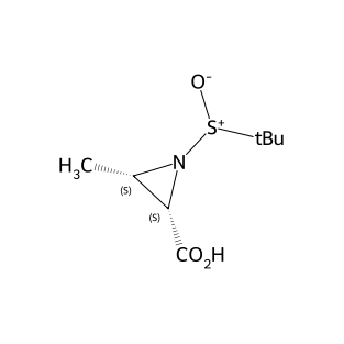 C[C@H]1[C@@H](C(=O)O)N1[S+]([O-])C(C)(C)C